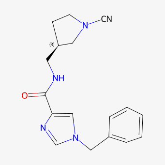 N#CN1CC[C@H](CNC(=O)c2cn(Cc3ccccc3)cn2)C1